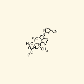 C[C@@H]1CN(c2ncnc3c2c(C(F)(F)F)cn3-c2cc(C#N)ccn2)[C@@H](C)CN1C(=O)OC1CC1